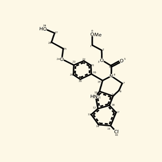 COCCOC(=O)N1CCc2c([nH]c3ccc(Cl)cc23)C1c1ccc(OCCCO)cc1